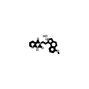 COc1cccc2c1CCC1CNC(CCn3c(=O)[nH]c4ncccc4c3=O)C21.Cl